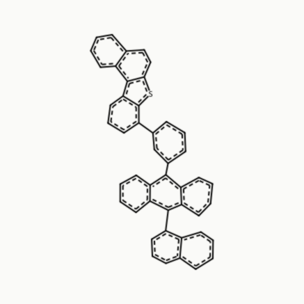 c1cc(-c2c3ccccc3c(-c3cccc4ccccc34)c3ccccc23)cc(-c2cccc3c2sc2ccc4ccccc4c23)c1